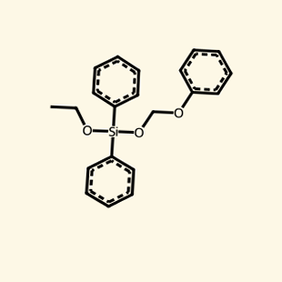 CCO[Si](OCOc1ccccc1)(c1ccccc1)c1ccccc1